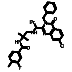 Cc1ccc(C(=O)NC(C)(C)CNC(c2nc3cc(Cl)ccc3c(=O)n2Cc2ccccc2)C(C)C)cc1F